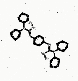 CC(C)N/C(=N\c1ccc(/N=C(\NC(C)C)P(c2ccccc2)c2ccccc2)cc1)P(c1ccccc1)c1ccccc1